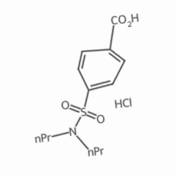 CCCN(CCC)S(=O)(=O)c1ccc(C(=O)O)cc1.Cl